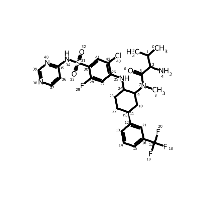 CC(C)C(N)C(=O)N(C)C1C[C@@H](c2cccc(C(F)(F)F)c2)CCC1Nc1cc(F)c(S(=O)(=O)Nc2ccncn2)cc1Cl